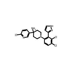 NC1(c2ccc(Cl)nc2)CCN(c2ccc(Cl)c(Cl)c2-c2cc[nH]n2)CC1